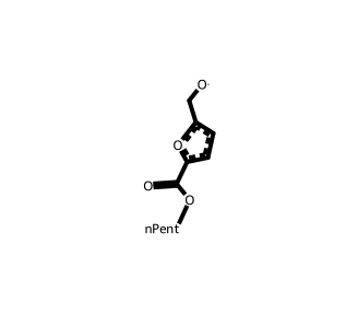 CCCCCOC(=O)c1ccc(C[O])o1